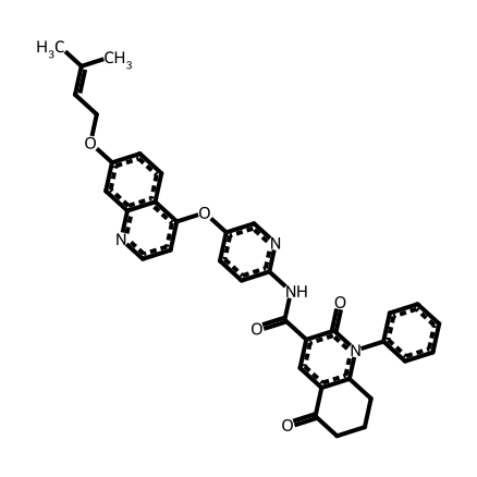 CC(C)=CCOc1ccc2c(Oc3ccc(NC(=O)c4cc5c(n(-c6ccccc6)c4=O)CCCC5=O)nc3)ccnc2c1